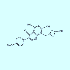 COc1ccc(-c2coc3c(CN4CC(O)C4)c(O)cc(O)c3c2=O)cc1